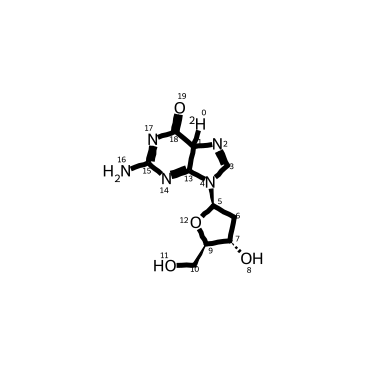 [2H]C12N=CN([C@H]3C[C@H](O)[C@@H](CO)O3)C1=NC(N)=NC2=O